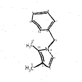 Cc1ccn(Cc2ccccc2)c1C